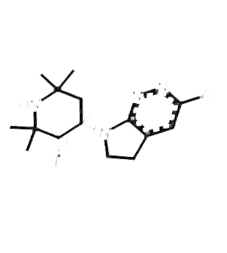 CC1(C)C[C@H](N2CCc3cc(Cl)nnc32)[C@H](F)C(C)(C)N1